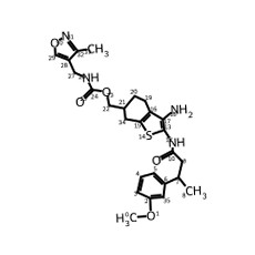 COc1cccc(C(C)CC(=O)Nc2sc3c(c2N)CCC(COC(=O)NCc2conc2C)C3)c1